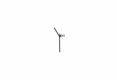 CCCCCCCCCCCCCCCCCCC(C)(CCCCCCCCCCCC)C(O)=S